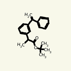 C=C(c1ccccc1)c1cccc(C(C)C(=O)OC(C)(C)C)c1